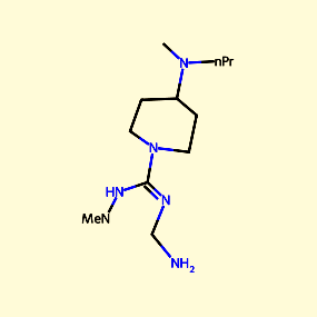 CCCN(C)C1CCN(/C(=N/CN)NNC)CC1